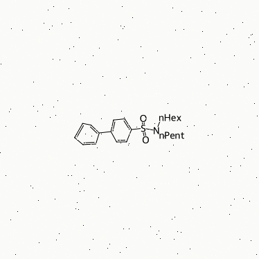 CCCCCCN(CCCCC)S(=O)(=O)c1ccc(-c2ccccc2)cc1